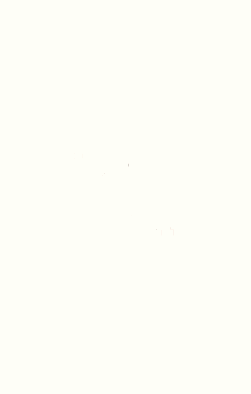 CCC[C@@]1(C)COC(=O)C1